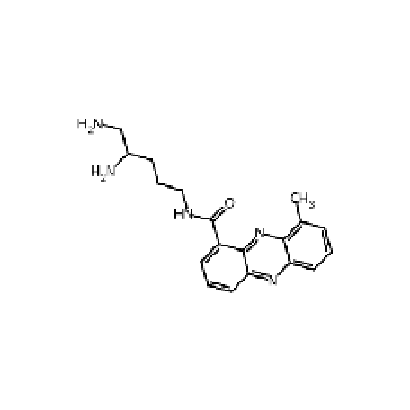 Cc1cccc2nc3cccc(C(=O)NCCCC(N)CN)c3nc12